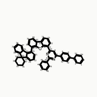 c1ccc(-c2ccc(-c3cc(-c4cccc5c4oc4c(-c6cccc7c6-c6ccccc6C76CCCCC6)cccc45)nc(-c4ccccc4)n3)cc2)cc1